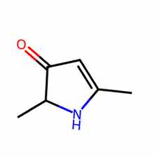 CC1=CC(=O)C(C)N1